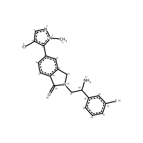 Cn1ncc(Cl)c1-c1ccc2c(c1)CN(CC(N)c1cccc(F)c1)C2=O